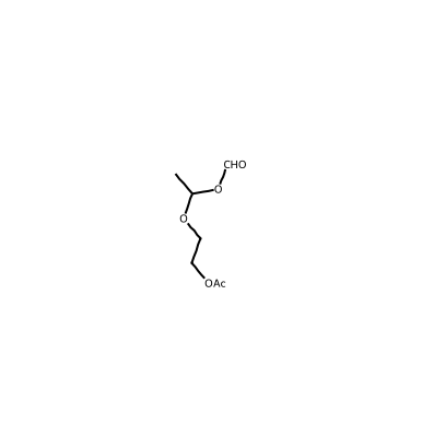 CC(=O)OCCOC(C)OC=O